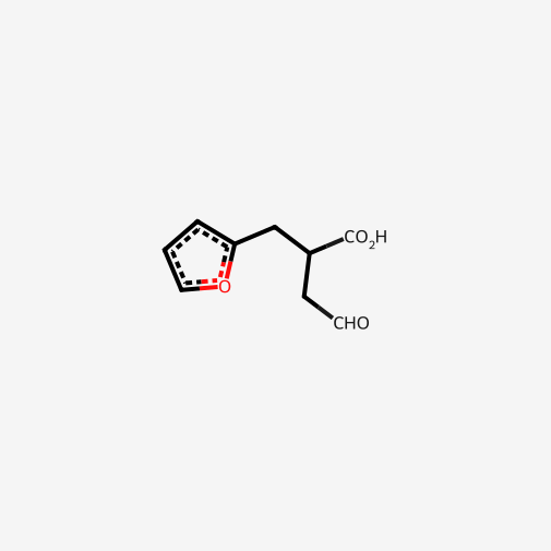 O=CCC(Cc1ccco1)C(=O)O